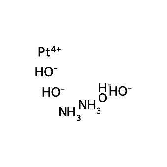 N.N.[OH-].[OH-].[OH-].[OH-].[Pt+4]